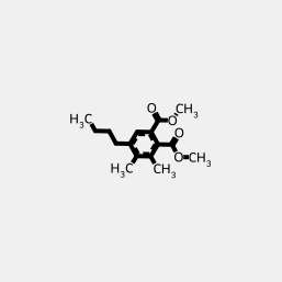 CCCCc1cc(C(=O)OC)c(C(=O)OC)c(C)c1C